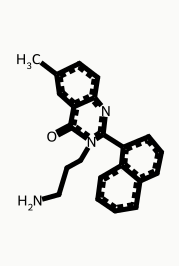 Cc1ccc2nc(-c3cccc4ccccc34)n(CCCN)c(=O)c2c1